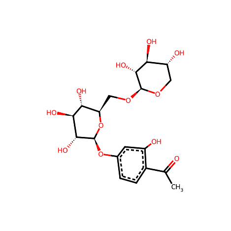 CC(=O)c1ccc(O[C@@H]2O[C@H](CO[C@@H]3OC[C@@H](O)[C@H](O)[C@H]3O)[C@@H](O)[C@H](O)[C@H]2O)cc1O